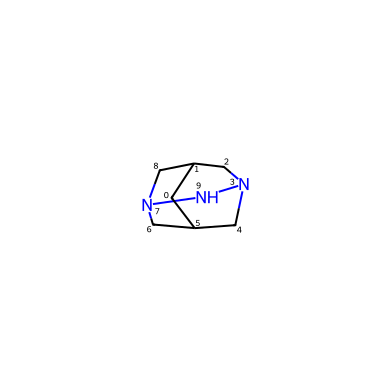 C1C2CN3CC1CN(C2)N3